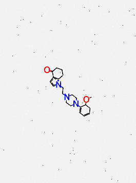 COC1CC=CC=C1N1CCN(CCn2ccc3c2CCCC3=O)CC1